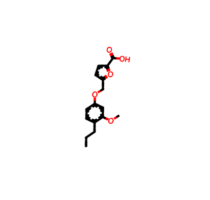 CCCc1ccc(OCc2ccc(C(=O)O)o2)cc1OC